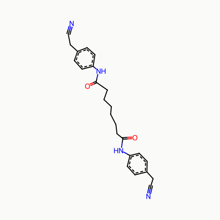 N#CCc1ccc(NC(=O)CCCCCCC(=O)Nc2ccc(CC#N)cc2)cc1